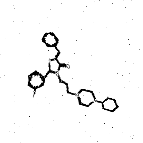 O=C1C(=Cc2ccccc2)SC(c2cccc(F)c2)N1CCCN1CCN(C2CCCCC2)CC1